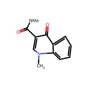 CNC(=O)c1cn(C)c2ccccc2c1=O